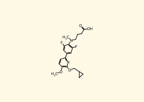 COc1ccc(-c2cc(F)c(N(C)CCCC(=O)O)c(F)c2)nc1OCC1CC1